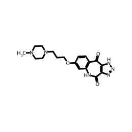 CN1CCN(CCCOc2ccc3c(=O)c4[nH]nnc4c(=O)[nH]c3c2)CC1